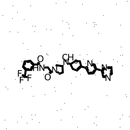 CN(C1CC=C(c2ccc(-c3cnccn3)cn2)CC1)[C@H]1CCN(C(=O)CNC(=O)c2cccc(C(F)(F)F)c2)C1